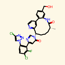 C[C@@H]1CCC[C@H](n2cnc(-c3c(-n4cc(Cl)nn4)ccc(Cl)c3F)cc2=O)c2cc(ccn2)-c2ccc(CO)cc2NC1=O